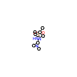 c1ccc(-c2cc(-c3ccccc3)c3oc4cccc(C5=NC(c6ccc7c(c6)c6ccccc6n7-c6ccccc6)Nc6c5sc5ccccc65)c4c3c2)cc1